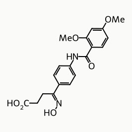 COc1ccc(C(=O)Nc2ccc(C(CCC(=O)O)=NO)cc2)c(OC)c1